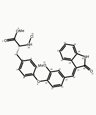 COC(=O)[C@@H](Cc1ccc(Oc2ccc(/C=C3/C(=O)Nc4ccccc43)cc2OC)cc1)NCl